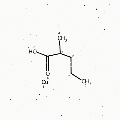 CCCC(C)C(=O)O.[Cu]